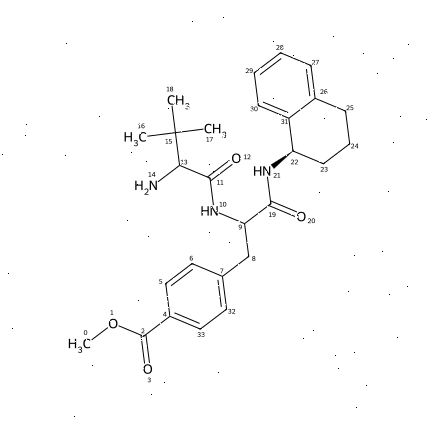 COC(=O)c1ccc(CC(NC(=O)C(N)C(C)(C)C)C(=O)N[C@@H]2CCCc3ccccc32)cc1